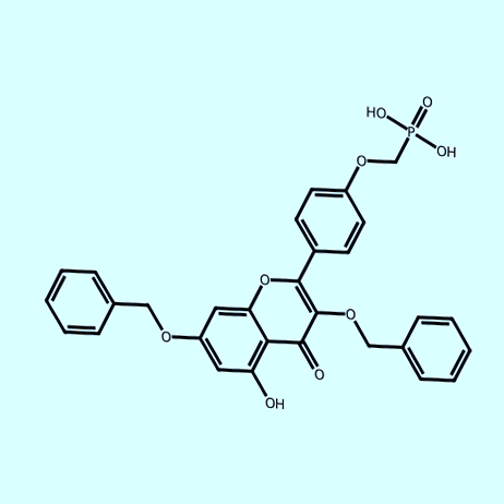 O=c1c(OCc2ccccc2)c(-c2ccc(OCP(=O)(O)O)cc2)oc2cc(OCc3ccccc3)cc(O)c12